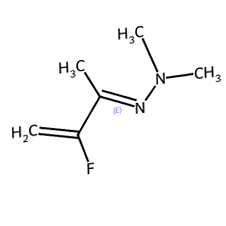 C=C(F)/C(C)=N/N(C)C